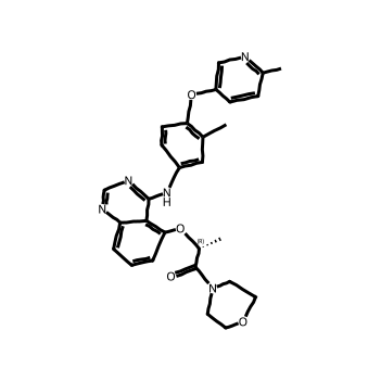 Cc1ccc(Oc2ccc(Nc3ncnc4cccc(O[C@H](C)C(=O)N5CCOCC5)c34)cc2C)cn1